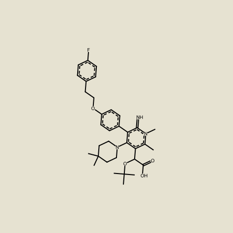 Cc1c(C(OC(C)(C)C)C(=O)O)c(N2CCC(C)(C)CC2)c(-c2ccc(OCCc3ccc(F)cc3)cc2)c(=N)n1C